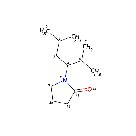 CC(C)CC(C(C)C)N1CCCC1=O